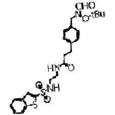 CC(C)(C)ON(C=O)Cc1ccc(CCC(=O)NCCNS(=O)(=O)c2cc3ccccc3s2)cc1